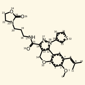 COc1cc2c(cc1C=C(C)C)-c1c(c(C(=O)NCCCN3CCOC3=O)nn1-c1ccsc1)CO2